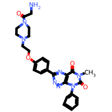 Cn1c(=O)c2nc(-c3ccc(OCCN4CCN(C(=O)CN)CC4)cc3)nnc2n(-c2ccccc2)c1=O